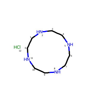 C1CNCCNCCNCCN1.Cl